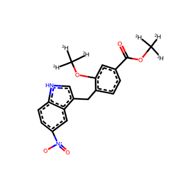 [2H]C([2H])([2H])OC(=O)c1ccc(Cc2c[nH]c3ccc([N+](=O)[O-])cc23)c(OC([2H])([2H])[2H])c1